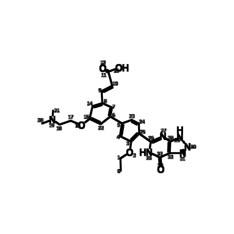 CCOc1cc(-c2cc(C=CC(=O)O)cc(OCCN(C)C)c2)ccc1-c1nc2[nH]nnc2c(=O)[nH]1